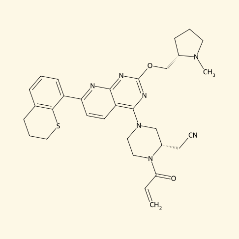 C=CC(=O)N1CCN(c2nc(OC[C@@H]3CCCN3C)nc3nc(-c4cccc5c4SCCC5)ccc23)C[C@@H]1CC#N